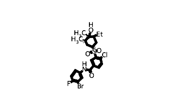 CCC1C[C@@H](S(=O)(=O)c2cc(C(=O)Nc3ccc(F)c(Br)c3)ccc2Cl)C[C@H](C)[C@]1(C)O